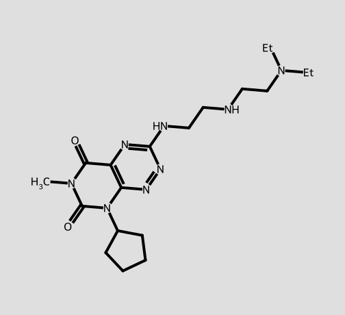 CCN(CC)CCNCCNc1nnc2c(n1)c(=O)n(C)c(=O)n2C1CCCC1